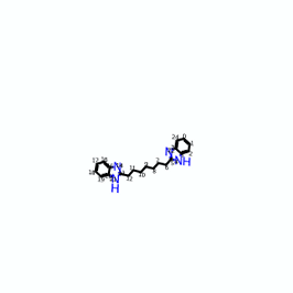 c1ccc2[nH]c(CCCCCCCc3nc4ccccc4[nH]3)nc2c1